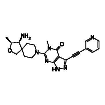 C[C@@H]1OCC2(CCN(c3nc4[nH]nc(C#Cc5cccnc5)c4c(=O)n3C)CC2)[C@@H]1N